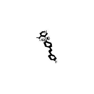 C[C@H](O)c1ccncc1S(=O)(=O)c1ccc(C=Cc2ccc(F)cc2)cc1